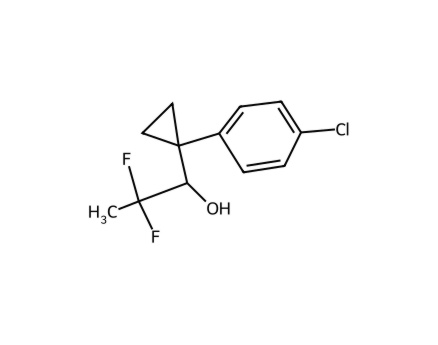 CC(F)(F)C(O)C1(c2ccc(Cl)cc2)CC1